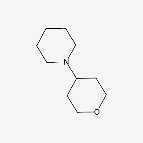 C1CCN(C2CCOCC2)CC1